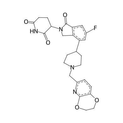 O=C1CCC(N2Cc3c(cc(F)cc3C3CCN(Cc4ccc5c(n4)OCCO5)CC3)C2=O)C(=O)N1